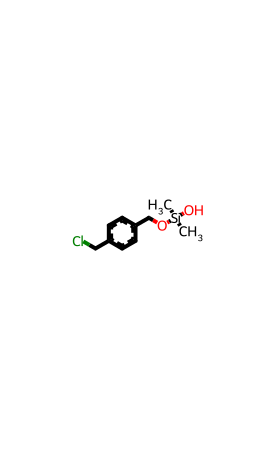 C[Si](C)(O)OCc1ccc(CCl)cc1